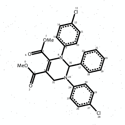 COC(=O)C1=C(C(=O)OC)N(c2ccc(Cl)cc2)C(c2ccccc2)N(c2ccc(Cl)cc2)C1